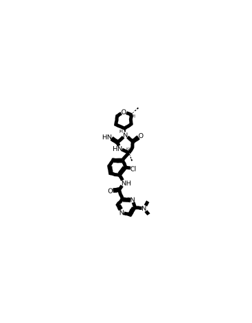 C[C@@H]1C[C@H](N2C(=N)N[C@](C)(c3cccc(NC(=O)c4cncc(N(C)C)n4)c3Cl)CC2=O)CCO1